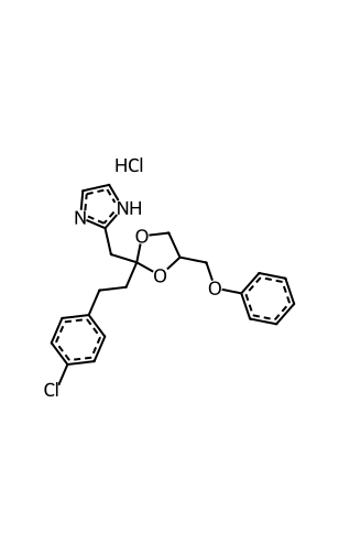 Cl.Clc1ccc(CCC2(Cc3ncc[nH]3)OCC(COc3ccccc3)O2)cc1